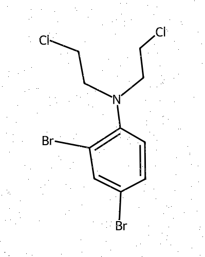 ClCCN(CCCl)c1ccc(Br)cc1Br